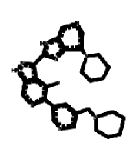 Fc1c(-c2cncc(CN3CCCCC3)c2)ncc2[nH]nc(-c3nc4c(N5CCCCC5)cncc4[nH]3)c12